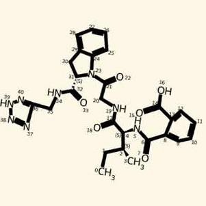 CC[C@H](C)[C@H](NC(=O)c1ccccc1C(=O)O)C(=O)NCC(=O)N1c2ccccc2C[C@H]1C(=O)NCc1nn[nH]n1